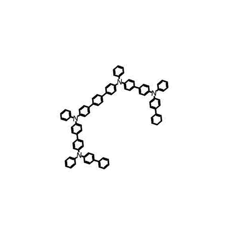 C1=CC(c2ccc(N(c3ccccc3)c3ccc(-c4ccc(N(c5ccccc5)c5ccc(-c6ccc(-c7ccc(N(c8ccccc8)c8ccc(-c9ccc(N(c%10ccccc%10)c%10ccc(-c%11ccccc%11)cc%10)cc9)cc8)cc7)cc6)cc5)cc4)cc3)cc2)=CCC1